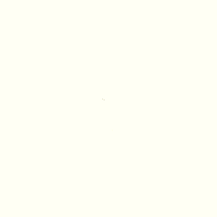 CCCC(CCC)CN(CC1CCOCC1)C1CCCCC1